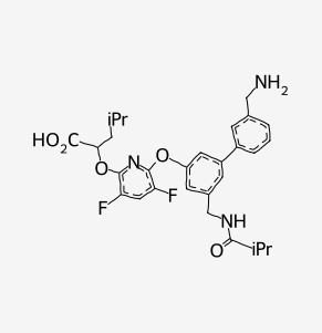 CC(C)CC(Oc1nc(Oc2cc(CNC(=O)C(C)C)cc(-c3cccc(CN)c3)c2)c(F)cc1F)C(=O)O